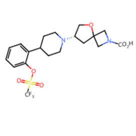 O=C(O)N1CC2(C[C@H](N3CCC(c4ccccc4OS(=O)(=O)C(F)(F)F)CC3)CO2)C1